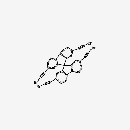 BrC#Cc1ccc2c(c1)C1(c3cc(C#CBr)ccc3-2)c2cc(C#CBr)ccc2-c2ccc(C#CBr)cc21